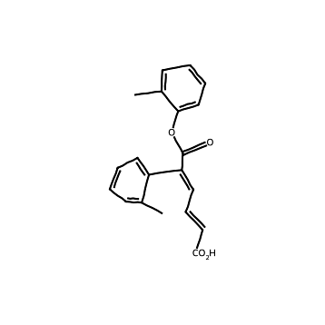 Cc1ccccc1OC(=O)C(=CC=CC(=O)O)c1ccccc1C